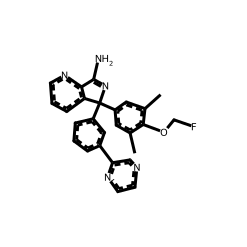 Cc1cc(C2(c3cccc(-c4cnccn4)c3)N=C(N)c3ncccc32)cc(C)c1OCF